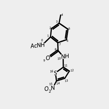 CC(=O)Nc1cc(C)ccc1C(=O)Nc1ccc([N+](=O)[O-])s1